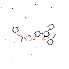 N#Cc1ccccc1-c1cc(-c2ccccn2)cn(-c2cccc(OC3CCN(C(=O)OCc4ccccc4)CC3)c2)c1=O